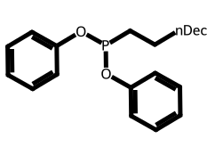 CCCCCCCCCCCCP(Oc1ccccc1)Oc1ccccc1